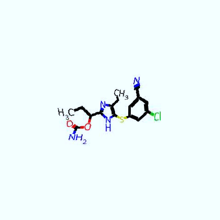 CCc1nc(C(CC)OC(N)=O)[nH]c1Sc1cc(Cl)cc(C#N)c1